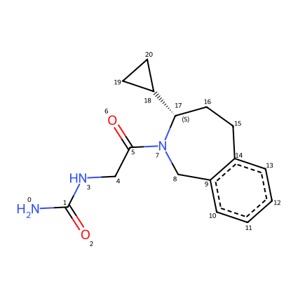 NC(=O)NCC(=O)N1Cc2ccccc2CC[C@H]1C1CC1